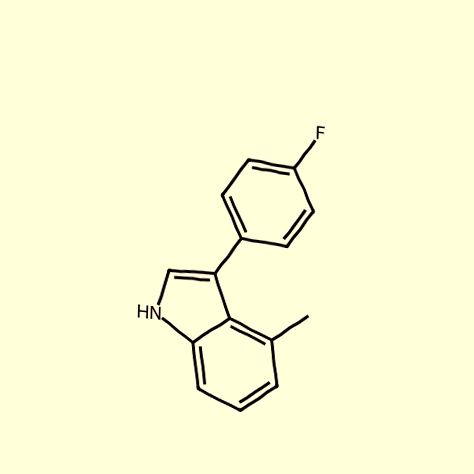 Cc1cccc2[nH]cc(-c3ccc(F)cc3)c12